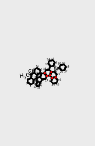 CC1(C)c2ccccc2C2(c3ccccc3-c3cc(-c4cccc(N(c5ccccc5)c5ccccc5-c5cccc(-c6ccccc6)c5)c4)ccc32)c2ccccc21